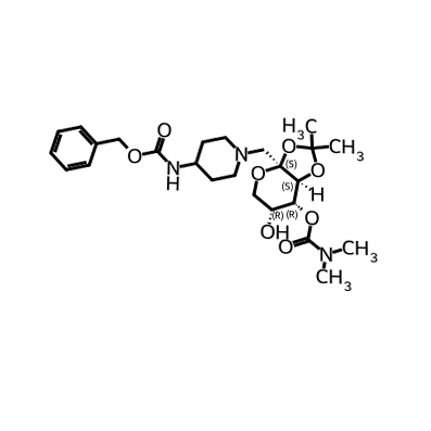 CN(C)C(=O)O[C@@H]1[C@H](O)CO[C@@]2(CN3CCC(NC(=O)OCc4ccccc4)CC3)OC(C)(C)O[C@@H]12